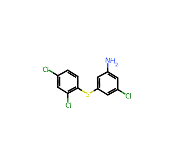 Nc1cc(Cl)cc(Sc2ccc(Cl)cc2Cl)c1